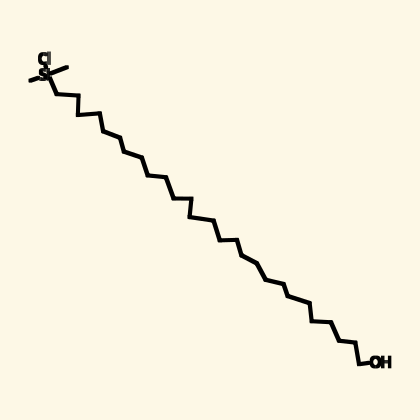 C[Si](C)(Cl)CCCCCCCCCCCCCCCCCCCCCCCCCCCO